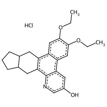 CCOc1cc2c3c(c4ncc(O)cc4c2cc1OCC)CC1CCCC1C3.Cl